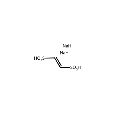 O=S(=O)(O)C=CS(=O)(=O)O.[NaH].[NaH]